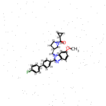 COc1ccc2nc(-c3ccc(-c4ccc(F)cc4)cc3)n(C[C@H]3CCN(C(=O)C4CC4)C3)c2c1